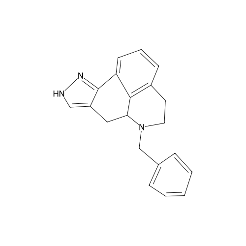 c1ccc(CN2CCc3cccc4c3C2Cc2c[nH]nc2-4)cc1